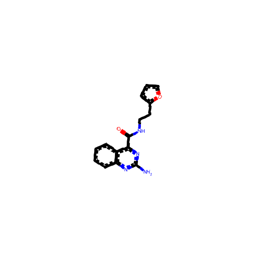 Nc1nc(C(=O)NCCc2ccco2)c2ccccc2n1